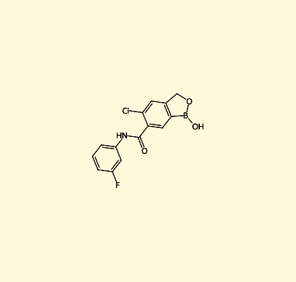 O=C(Nc1cccc(F)c1)c1cc2c(cc1Cl)COB2O